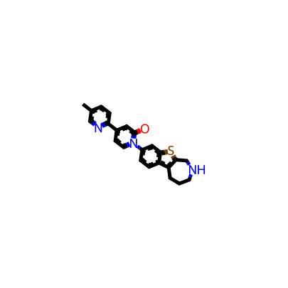 Cc1ccc(-c2ccn(-c3ccc4c5c(sc4c3)CNCCC5)c(=O)c2)nc1